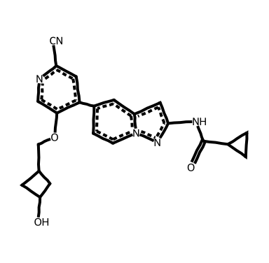 N#Cc1cc(-c2ccn3nc(NC(=O)C4CC4)cc3c2)c(OCC2CC(O)C2)cn1